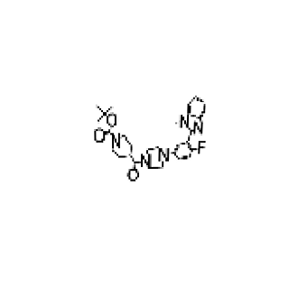 Cn1c(-c2cc(N3CCN(C(=O)C4CCN(C(=O)OC(C)(C)C)CC4)CC3)ccc2F)nc2ccccc21